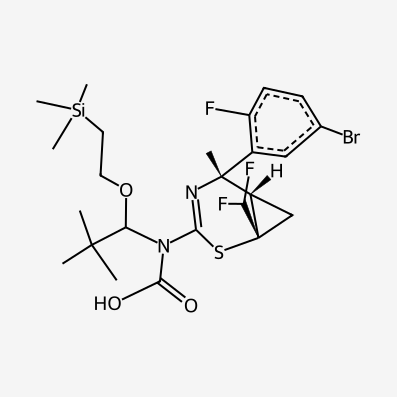 CC(C)(C)C(OCC[Si](C)(C)C)N(C(=O)O)C1=N[C@](C)(c2cc(Br)ccc2F)[C@@H]2C[C@]2(C(F)F)S1